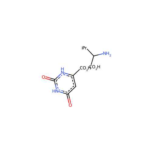 CC(C)C(N)C(=O)O.O=C(O)c1cc(=O)[nH]c(=O)[nH]1